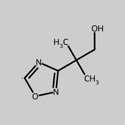 CC(C)(CO)c1n[c]on1